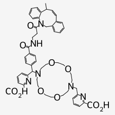 CC1/C=C\c2ccccc2CN(C(=O)CCNC(=O)c2ccc(C(c3cccc(C(=O)O)n3)N3CCOCCOCCN(Cc4cccc(C(=O)O)n4)CCOCCOCC3)cc2)c2ccccc21